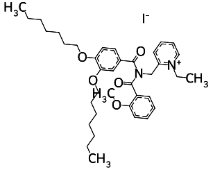 CCCCCCCOc1ccc(C(=O)N(Cc2cccc[n+]2CC)C(=O)c2ccccc2OC)cc1OCCCCCCC.[I-]